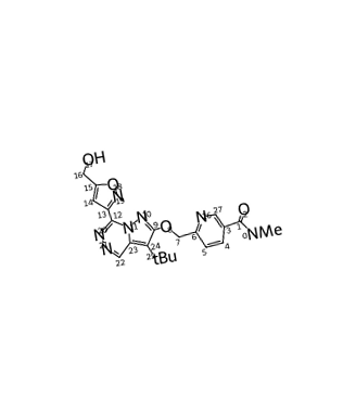 CNC(=O)c1ccc(COc2nn3c(-c4cc(CO)on4)nncc3c2C(C)(C)C)nc1